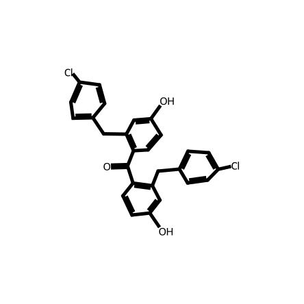 O=C(c1ccc(O)cc1Cc1ccc(Cl)cc1)c1ccc(O)cc1Cc1ccc(Cl)cc1